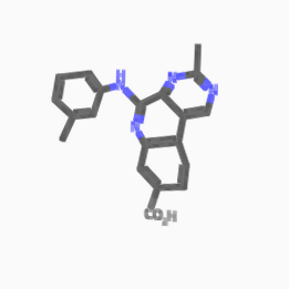 Cc1cccc(Nc2nc3cc(C(=O)O)ccc3c3cnc(C)nc23)c1